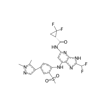 Cc1c(-c2ccc(Nc3cc(NC(=O)[C@@H]4CC4(F)F)nc4[nH]c(C(F)F)nc34)c(S(C)(=O)=O)c2)cnn1C